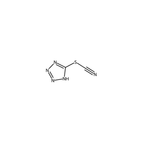 N#CSc1nnn[nH]1